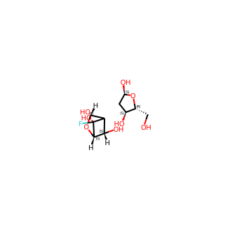 OC[C@H]1O[C@H](O)C[C@@H]1O.O[C@H]1O[C@H]2[C@@H](O)C1C2(O)F